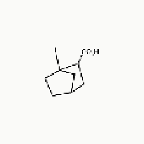 O=C(O)C1CC2CCC1(I)C2